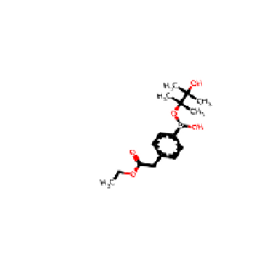 CCOC(=O)Cc1ccc(B(O)OC(C)(C)C(C)(C)O)cc1